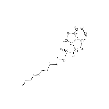 CCCCCCCCCCCC(=O)OC1COC2C(OC(C)=O)COC12